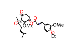 CCOc1ccc(/C=C/C(=O)O[C@@H]2CC[C@]3(CO3)[C@@H](C3(C)OC3CC=C(C)C)[C@@H]2OC)cc1OC